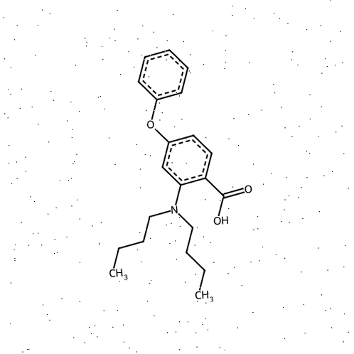 CCCCN(CCCC)c1cc(Oc2ccccc2)ccc1C(=O)O